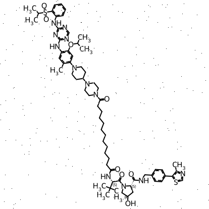 Cc1cc(Nc2ncnc(Nc3ccccc3S(=O)(=O)C(C)C)n2)c(OC(C)C)cc1N1CCC(N2CCN(C(=O)CCCCCCCCCCCC(=O)N[C@H](C(=O)N3C[C@H](O)C[C@H]3C(=O)NCc3ccc(-c4scnc4C)cc3)C(C)(C)C)CC2)CC1